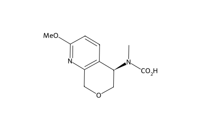 COc1ccc2c(n1)COC[C@@H]2N(C)C(=O)O